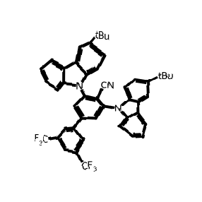 CC(C)(C)c1ccc2c(c1)c1ccccc1n2-c1cc(-c2cc(C(F)(F)F)cc(C(F)(F)F)c2)cc(-n2c3ccccc3c3cc(C(C)(C)C)ccc32)c1C#N